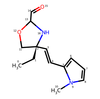 CC[C@@]1(C=Cc2cccn2C)COC(C=O)N1